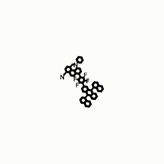 N#Cc1ccc2c3c1ccc1c(-c4c(F)c(F)c(-c5ccc6c(-c7cccc8ccccc78)c7ccccc7c(-c7cccc8ccccc78)c6c5)c(F)c4F)ccc(c13)N(c1ccccc1)C2